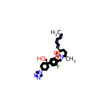 C\C=C/C=C\C=C\[C@H]1CC[C@H](C)N(Cc2ccc([C@]3(CO)CC[C@@H](n4cnnc4)CC3)cc2F)S1(=O)=O